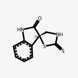 O=C1Nc2ccccc2[C@]12CNC(=S)S2